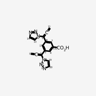 C=C=C(c1cc(C(=O)O)cc(C(=C=C)n2ccnn2)c1)n1ccnn1